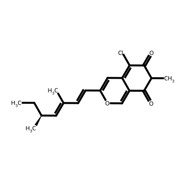 CC[C@H](C)/C=C(C)/C=C/C1=CC2=C(Cl)C(=O)[C](C)C(=O)C2=CO1